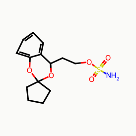 NS(=O)(=O)OCCC1OC2(CCCC2)Oc2ccccc21